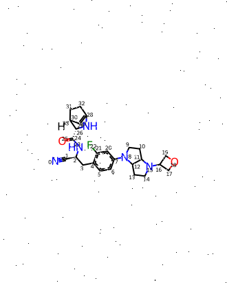 N#C[C@H](Cc1ccc(N2CCC3C2CCN3C2COC2)cc1F)NC(=O)[C@H]1NC2=C[C@@H]1CC2